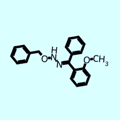 COc1ccccc1C(=NNOCc1ccccc1)c1ccccc1